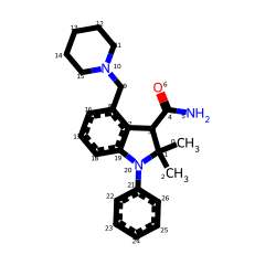 CC1(C)C(C(N)=O)c2c(CN3CCCCC3)cccc2N1c1ccccc1